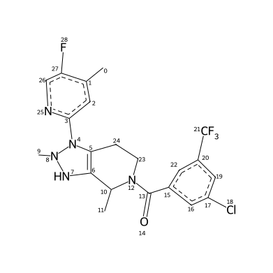 Cc1cc(N2C3=C(NN2C)C(C)N(C(=O)c2cc(Cl)cc(C(F)(F)F)c2)CC3)ncc1F